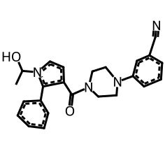 CC(O)n1ccc(C(=O)N2CCN(c3cccc(C#N)c3)CC2)c1-c1ccccc1